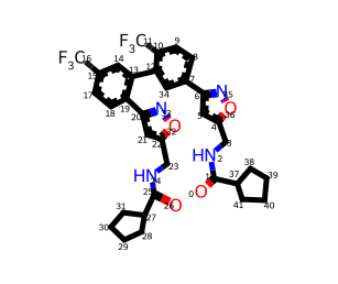 O=C(NCc1cc(-c2ccc(C(F)(F)F)c(-c3cc(C(F)(F)F)ccc3-c3cc(CNC(=O)C4CCCC4)on3)c2)no1)C1CCCC1